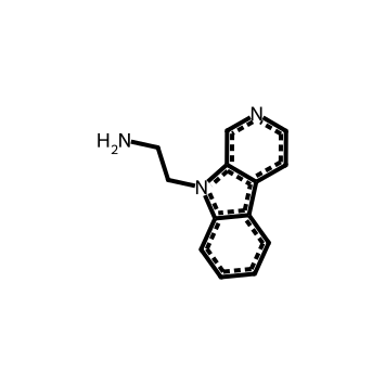 NCCn1c2ccccc2c2ccncc21